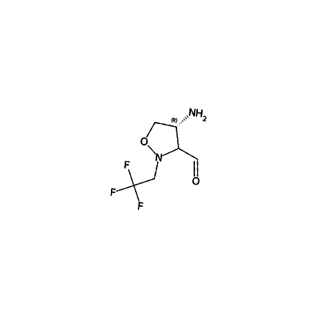 N[C@H]1CON(CC(F)(F)F)C1C=O